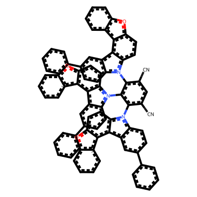 N#Cc1cc(C#N)c(-n2c3ccc(-c4ccccc4)cc3c3c4c(ccc32)oc2ccccc24)c(-n2c3ccc(-c4ccccc4)cc3c3c4c(ccc32)oc2ccccc24)c1-n1c2ccc(-c3ccccc3)cc2c2c3c(ccc21)oc1ccccc13